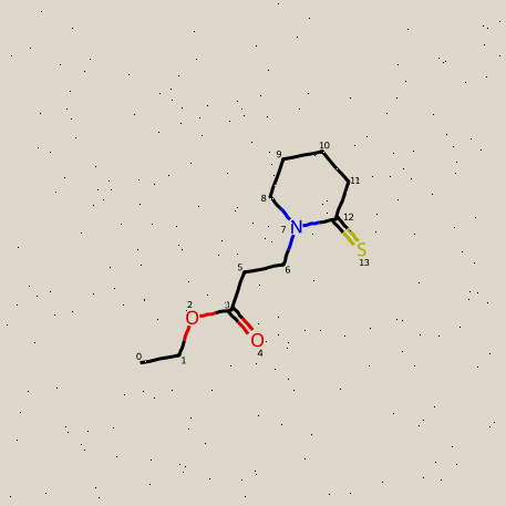 CCOC(=O)CCN1CCCCC1=S